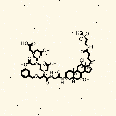 C[C@H](CCC(=O)NCCS(=O)(=O)O)[C@H]1CCC2C3C(C[C@H](O)[C@@]21C)[C@@]1(C)CC[C@H](NC(=O)CNC(=O)C(COCc2ccccc2)N(CCN(CCN(CC(=O)O)CC(=O)O)CC(=O)O)CC(=O)O)C[C@H]1C[C@H]3O